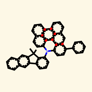 CC1(C)c2cc3ccccc3cc2-c2cccc(N(c3ccc(-c4ccccc4)cc3-c3ccccc3)c3ccc4ccccc4c3-c3cccc4ccccc34)c21